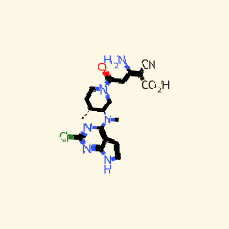 C[C@@H]1CCN(C(=O)C/C(N)=C(/C#N)C(=O)O)C[C@@H]1N(C)c1nc(Cl)nc2[nH]ccc12